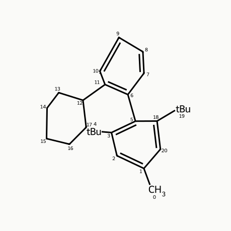 Cc1cc(C(C)(C)C)c(-c2ccc[c]c2C2CCCCC2)c(C(C)(C)C)c1